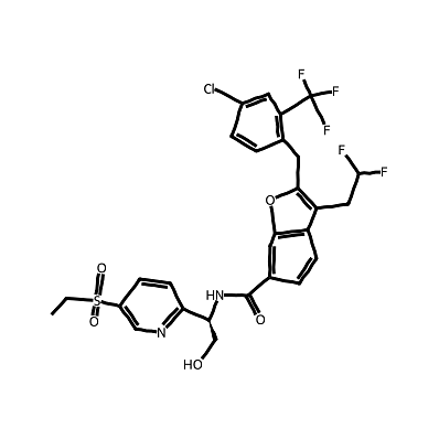 CCS(=O)(=O)c1ccc([C@H](CO)NC(=O)c2ccc3c(CC(F)F)c(Cc4ccc(Cl)cc4C(F)(F)F)oc3c2)nc1